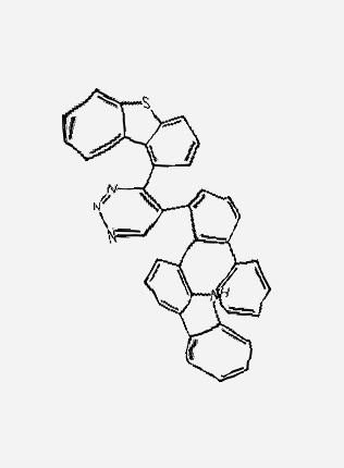 c1ccc(-c2cccc(-c3cnnnc3-c3cccc4sc5ccccc5c34)c2-c2cccc3c2[nH]c2ccccc23)cc1